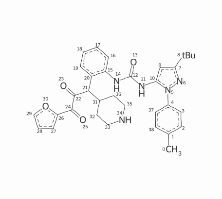 Cc1ccc(-n2nc(C(C)(C)C)cc2NC(=O)Nc2ccccc2C(C(=O)C(=O)c2ccco2)C2CCNCC2)cc1